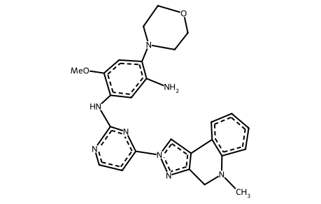 COc1cc(N2CCOCC2)c(N)cc1Nc1nccc(-n2cc3c(n2)CN(C)c2ccccc2-3)n1